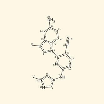 Cc1cn(-c2nc(Nc3cnn(C)c3)ncc2C#N)c2ccc(N)cc12